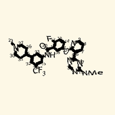 CNc1ncnc(-c2cccnc2Oc2ccc(F)c(C(=O)Nc3cc(C4CCN(C)CC4)cc(C(F)(F)F)c3)c2)n1